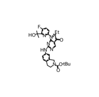 CCn1c(=O)c2cnc(Nc3ccc4c(c3)CN(C(=O)OC(C)(C)C)CC4)nc2n1-c1ccc(F)c(C(C)(C)O)n1